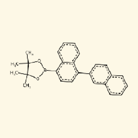 CC1(C)OB(c2ccc(-c3ccc4ccccc4c3)c3ccccc23)OC1(C)C